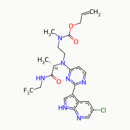 C=CCOC(=O)N(C)CCN(c1ccnc(-c2c[nH]c3ncc(Cl)cc23)n1)[C@@H](C)C(=O)NCC(F)(F)F